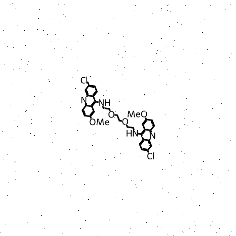 COc1ccc2nc3cc(Cl)ccc3c(NCCOCCOCCNc3c4ccc(Cl)cc4nc4ccc(OC)cc34)c2c1